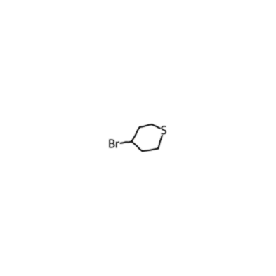 BrC1CCSCC1